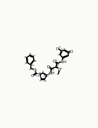 COC(C(=O)Nc1cc(Cl)cc(Cl)c1)C(=O)N[C@H]1C=C[C@@H](C(=O)OCc2ccccc2)C1